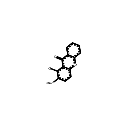 CCCCCCCCCc1ccc2oc3ccccc3c(=O)c2c1Cl